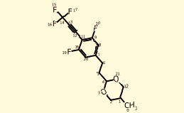 CC1COC(CCc2cc(F)c(C#CC(F)(F)F)c(F)c2)OC1